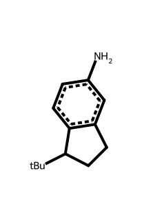 CC(C)(C)C1CCc2cc(N)ccc21